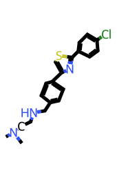 CN(C)CCNCc1ccc(-c2csc(-c3ccc(Cl)cc3)n2)cc1